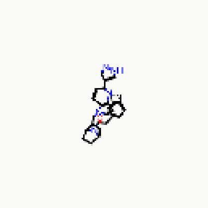 N#Cc1cccc(CC(=O)N2C3CCC2C(Cn2ccc4nc(-c5cn[nH]c5)ccc42)C3)c1